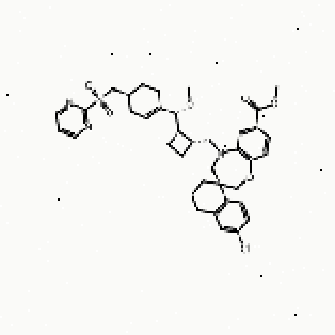 COC(=O)c1ccc2c(c1)N(C[C@@H]1CC[C@H]1[C@@H](OC)C1=CC[C@@H](CS(=O)(=O)c3ncccn3)CC1)C[C@@]1(CCCc3cc(Cl)ccc31)CO2